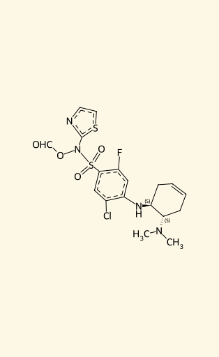 CN(C)[C@H]1CC=CC[C@@H]1Nc1cc(F)c(S(=O)(=O)N(OC=O)c2nccs2)cc1Cl